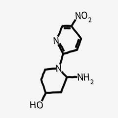 NC1CC(O)CCN1c1ccc([N+](=O)[O-])cn1